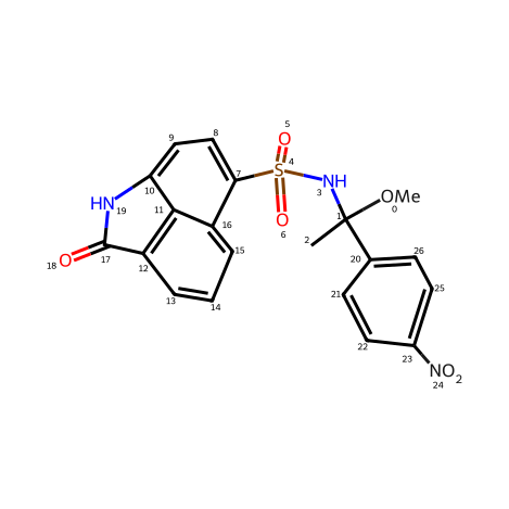 COC(C)(NS(=O)(=O)c1ccc2c3c(cccc13)C(=O)N2)c1ccc([N+](=O)[O-])cc1